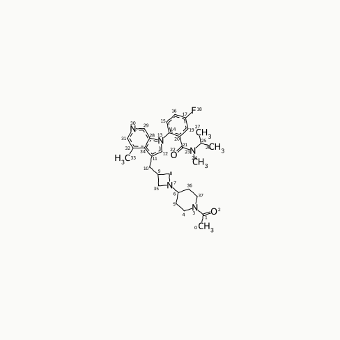 CC(=O)N1CCC(N2CC(Cc3cn(-c4ccc(F)cc4C(=O)N(C)C(C)C)c4cncc(C)c34)C2)CC1